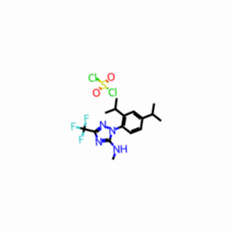 CNc1nc(C(F)(F)F)nn1-c1ccc(C(C)C)cc1C(C)C.O=S(=O)(Cl)Cl